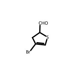 O=CC1CC(Br)=CS1